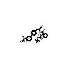 Cn1c(=O)oc2ccc(-c3ccc(CC(C#N)NC(=O)C4(NC(=O)OC(C)(C)C)CCCC4)cc3)cc21